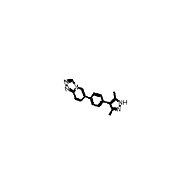 Cc1n[nH]c(C)c1-c1ccc(-c2ccc3nncn3c2)cc1